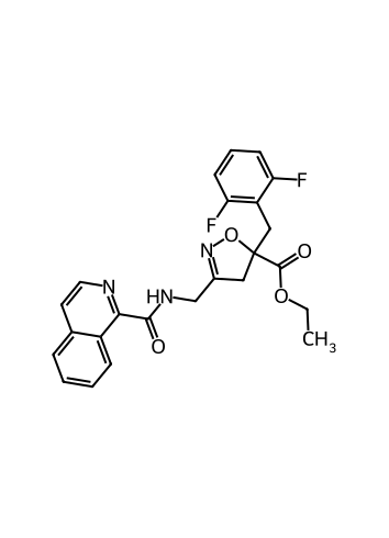 CCOC(=O)C1(Cc2c(F)cccc2F)CC(CNC(=O)c2nccc3ccccc23)=NO1